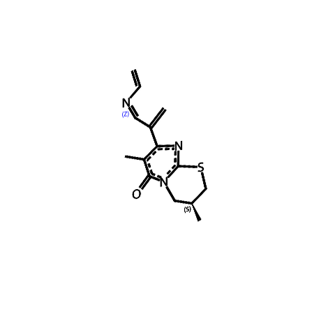 C=C/N=C\C(=C)c1nc2n(c(=O)c1C)C[C@H](C)CS2